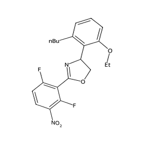 CCCCc1cccc(OCC)c1C1COC(c2c(F)ccc([N+](=O)[O-])c2F)=N1